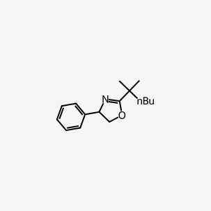 CCCCC(C)(C)C1=NC(c2ccccc2)CO1